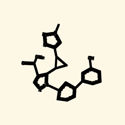 COC(=O)c1cnn(-c2cccc(-c3cccc(O)c3)c2)c1C1CC1c1cn(C)nn1